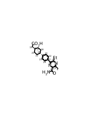 CCc1nc(C)c(C(N)=O)nc1-c1ccc([C@H]2CC[C@H](CC(=O)O)CC2)cc1